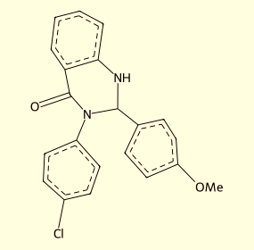 COc1ccc(C2Nc3ccccc3C(=O)N2c2ccc(Cl)cc2)cc1